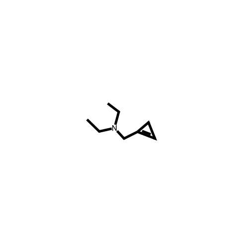 CCN(CC)CC1=CC1